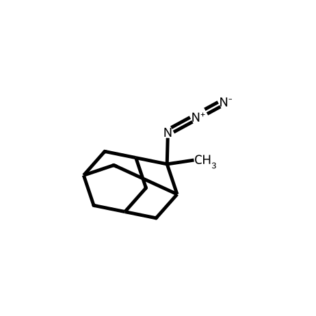 CC1(N=[N+]=[N-])C2CC3CC(C2)CC1C3